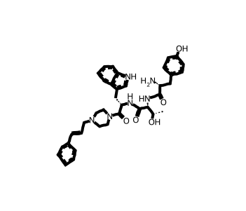 C[C@H](O)[C@@H](NC(=O)[C@H](N)Cc1ccc(O)cc1)C(=O)N[C@@H](Cc1c[nH]c2ccccc12)C(=O)N1CCN(C/C=C/c2ccccc2)CC1